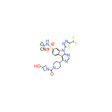 N#CC1(NS(=O)(=O)c2ccc3c4c(C5CCN(C(=O)N6CC(O)C6)CC5)ncnc4n(-c4nnc(C(F)F)s4)c3c2)CC1